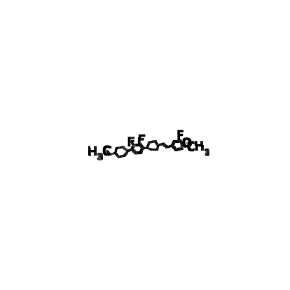 CCC1CCC(c2ccc(C3CCC(/C=C/c4ccc(OC)c(F)c4)CC3)c(F)c2F)CC1